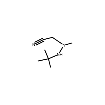 CN(CC#N)NC(C)(C)C